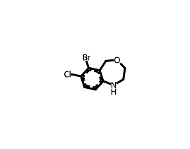 Clc1ccc2c(c1Br)COCCN2